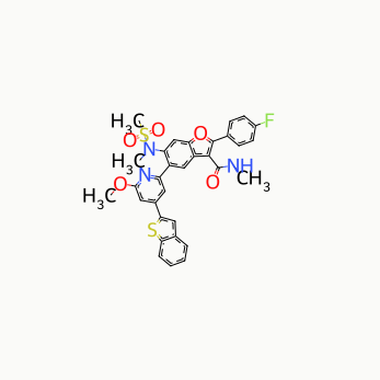 CNC(=O)c1c(-c2ccc(F)cc2)oc2cc(N(C)S(C)(=O)=O)c(-c3cc(-c4cc5ccccc5s4)cc(OC)n3)cc12